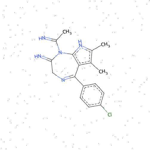 CC(=N)N1C(=N)CN=C(c2ccc(Cl)cc2)c2c1[nH]c(C)c2C